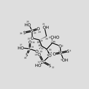 O=C[C@H](OS(=O)(O)=S)[C@@H](OS(=O)(O)=S)[C@H](OS(=O)(O)=S)[C@@H](CO)OS(=O)(O)=S